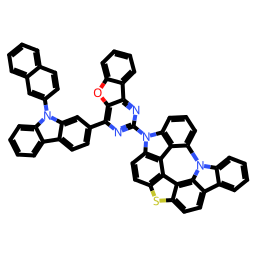 c1ccc2cc(-n3c4ccccc4c4ccc(-c5nc(-n6c7ccc8sc9ccc%10c%11ccccc%11n%11c%12cccc6c%12c7c8c9c%10%11)nc6c5oc5ccccc56)cc43)ccc2c1